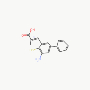 C/C(=C\c1cc(-c2ccccc2)cc(N)c1S)C(=O)O